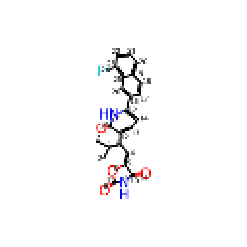 CC(C)C(/C=C1\OC(=O)NC1=O)c1ccc(-c2ccc3cccc(F)c3c2)[nH]c1=O